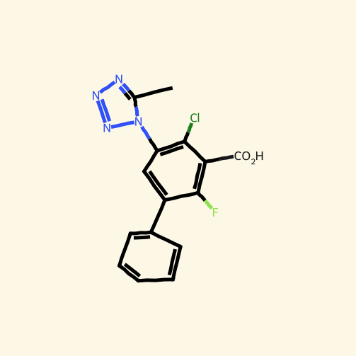 Cc1nnnn1-c1cc(-c2ccccc2)c(F)c(C(=O)O)c1Cl